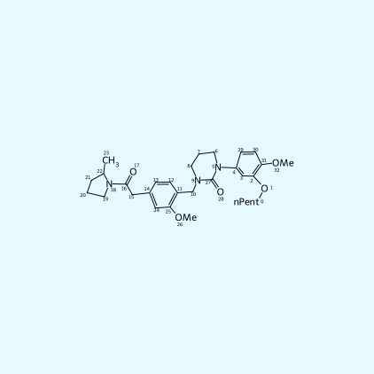 CCCCCOc1cc(N2CCCN(Cc3ccc(CC(=O)N4CCCC4C)cc3OC)C2=O)ccc1OC